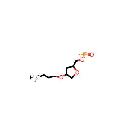 CCCCOC1COC(CO[PH]=O)C1